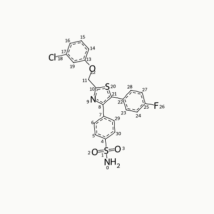 NS(=O)(=O)c1ccc(-c2nc(COc3cccc(Cl)c3)sc2-c2ccc(F)cc2)cc1